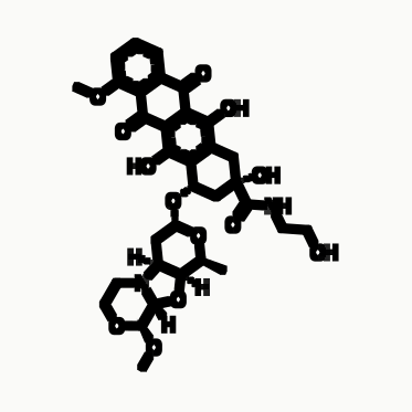 COc1cccc2c1C(=O)c1c(O)c3c(c(O)c1C2=O)C[C@@](O)(C(=O)NCCO)C[C@@H]3O[C@H]1C[C@H]2[C@H](O[C@@H]3[C@@H](OC)OCCN32)[C@H](C)O1